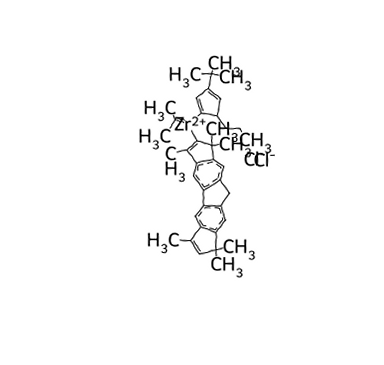 CCCC1C=C(C(C)(C)C)C=[C]1[Zr+2]([C]1=C(C)c2cc3c(cc2C1(C)C)Cc1cc2c(cc1-3)C(C)=CC2(C)C)=[C](C)C.[Cl-].[Cl-]